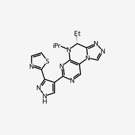 CC[C@@H]1c2nncn2-c2cnc(-c3c[nH]nc3-c3nccs3)nc2N1C(C)C